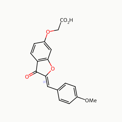 COc1ccc(/C=C2\Oc3cc(OCC(=O)O)ccc3C2=O)cc1